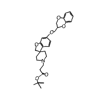 CC(C)(C)OC(=O)CCN1CCC2(CC1)COc1cc(OCC3COc4ccccc4O3)ccc12